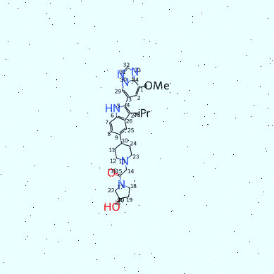 COc1cc(-c2[nH]c3ccc(C4CCN(CC(=O)N5CC[C@@H](O)C5)CC4)cc3c2C(C)C)cn2ncnc12